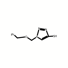 CC(C)COCn1cc(S)nn1